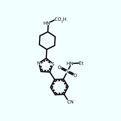 CCNS(=O)(=O)c1cc(C#N)ccc1-c1cnc(C2CCC(NC(=O)O)CC2)s1